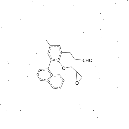 Cc1cc(CCC=O)c(OCC2CO2)c(-c2cccc3ccccc23)c1